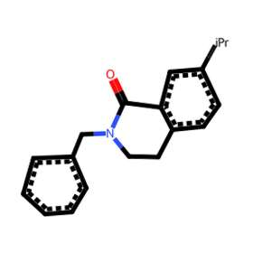 CC(C)c1ccc2c(c1)C(=O)N(Cc1ccccc1)CC2